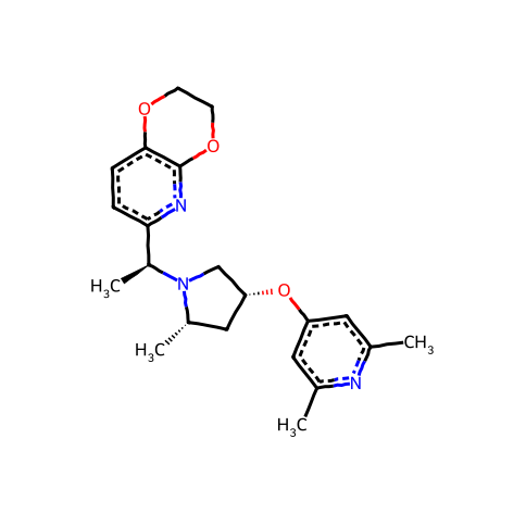 Cc1cc(O[C@@H]2C[C@H](C)N([C@@H](C)c3ccc4c(n3)OCCO4)C2)cc(C)n1